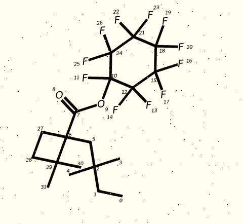 CCC(C)(C)CC1(C(=O)OC2(F)C(F)(F)C(F)(F)C(F)(F)C(F)(F)C2(F)F)CCC1(C)C